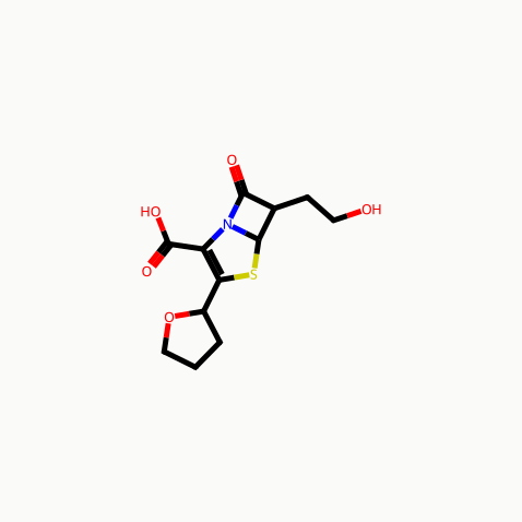 O=C(O)C1=C(C2CCCO2)SC2C(CCO)C(=O)N12